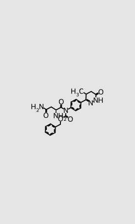 CC1CC(=O)NN=C1c1ccc(N(C(=O)OCc2ccccc2)C(=O)[C@@H](N)CC(N)=O)cc1